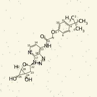 CC(C)(C)c1ccc(OCC(=O)Nc2ccnc3c2nnn3[C@H]2C[C@@]3(O)C(O)[C@H]3O2)cc1